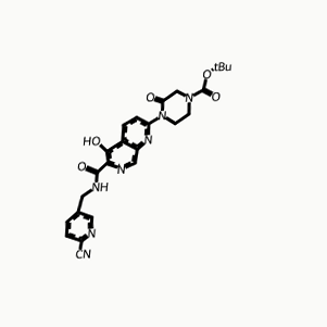 CC(C)(C)OC(=O)N1CCN(c2ccc3c(O)c(C(=O)NCc4ccc(C#N)nc4)ncc3n2)C(=O)C1